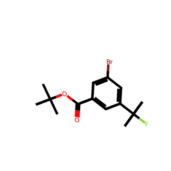 CC(C)(C)OC(=O)c1cc(Br)cc(C(C)(C)F)c1